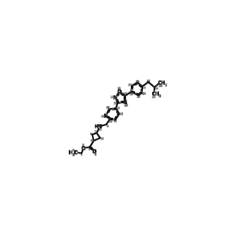 CCOC(=O)C1CC(NCc2ccc(-c3noc(-c4ccc(CC(C)C)cc4)n3)cn2)C1